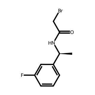 C[C@H](NC(=O)CBr)c1cccc(F)c1